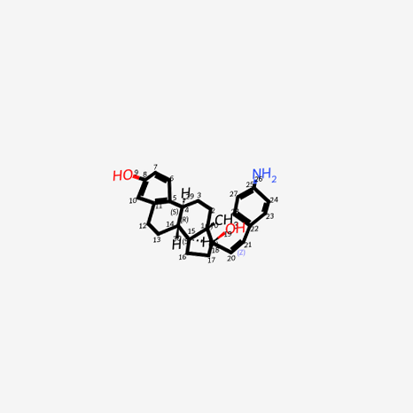 C[C@]12CC[C@@H]3c4ccc(O)cc4CC[C@H]3[C@@H]1CC[C@@]2(O)/C=C\c1ccc(N)cc1